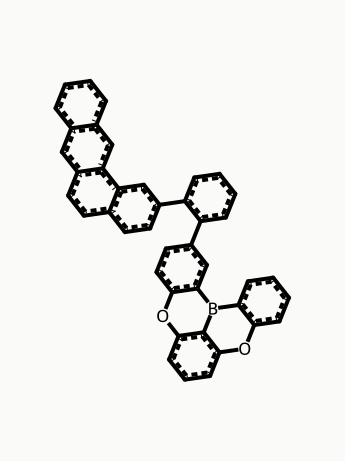 c1ccc2c(c1)Oc1cccc3c1B2c1cc(-c2ccccc2-c2ccc4ccc5cc6ccccc6cc5c4c2)ccc1O3